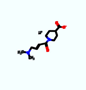 CN(C)C/C=C/C(=O)N1CCC(C(=O)[O-])CC1.[Li+]